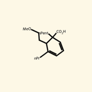 CCCCCC1(C(=O)O)C=CC=C(CCC)C1CCOC